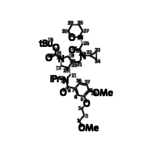 COCCCOc1cc(C(=O)N(C[C@@H]2CN(C(=O)OC(C)(C)C)C[C@H]2CN(C(=O)C[C@H]2CCCCO2)C2CC2)C(C)C)ccc1OC